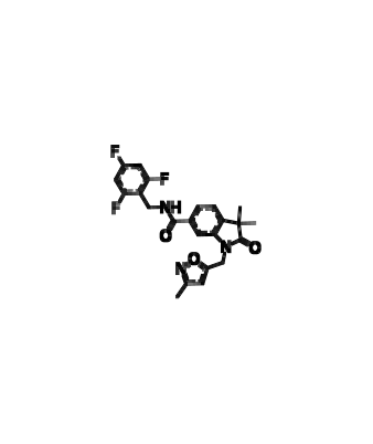 Cc1cc(CN2C(=O)C(C)(C)c3ccc(C(=O)NCc4c(F)cc(F)cc4F)cc32)on1